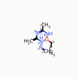 C=NNC(=C)/N=C(/C)NOCC